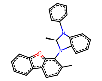 Cc1ccc2c(oc3ccccc32)c1N1c2ccccc2N(c2ccccc2)[C@@H]1C